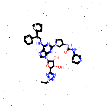 CCn1nnc([C@H]2O[C@@H](n3cnc4c(NCC(c5ccccc5)c5ccccc5)nc(N5CC[C@@H](NC(=O)Nc6cccnc6)C5)nc43)[C@H](O)[C@@H]2O)n1